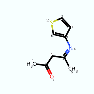 CC(=O)CC(C)=Nc1ccsc1